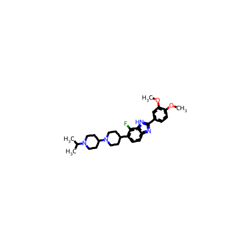 COc1ccc(-c2nc3ccc(C4CCN(C5CCN(C(C)C)CC5)CC4)c(F)c3[nH]2)cc1OC